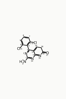 Nc1nc(-c2c(Cl)cccc2Cl)c2c(n1)=NC(=O)CC=2